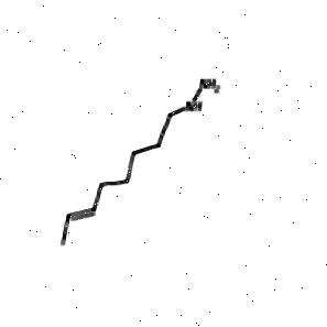 CC=CCCCCCNN